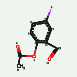 CC(=O)Oc1ccc(I)cc1C=O